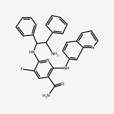 NC(=O)c1cc(F)c(NC(c2ccccc2)C(N)c2ccccc2)nc1Nc1ccc2cccnc2c1